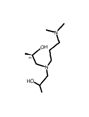 CC(O)CN(CCCN(C)C)C[C@@H](C)O